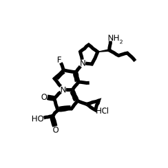 CCCC(N)[C@@H]1CCN(c2c(F)cn3c(=O)c(C(=O)O)cc(C4CC4)c3c2C)C1.Cl